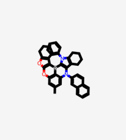 Cc1cc2c3c(c1)N(c1ccc4ccccc4c1)c1c4c(n(-c5ccccc5)c1B3c1c(oc3c1CCCC3)O2)CCCC4